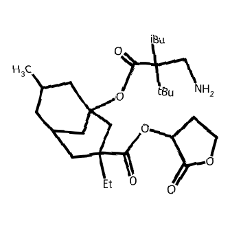 CCC(C)C(CN)(C(=O)OC12CC(C)CC(C1)CC(CC)(C(=O)OC1CCOC1=O)C2)C(C)(C)C